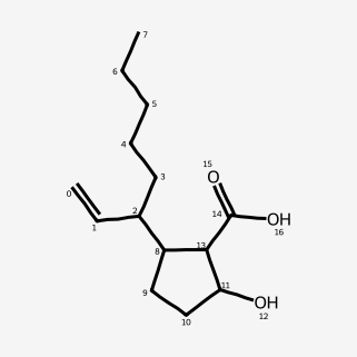 C=CC(CCCCC)C1CCC(O)C1C(=O)O